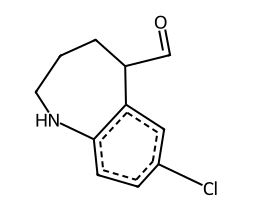 O=CC1CCCNc2ccc(Cl)cc21